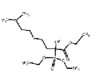 CCOC(=O)C(O)(CCSCCN(C)C)P(=O)(OCC)OCC